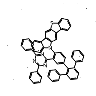 c1ccc(-c2nc(-c3ccccc3)nc(-c3cc(-c4c(-c5ccccc5)cccc4-c4ccccc4)ccc3-n3c4ccccc4c4cc5sc6ccccc6c5cc43)n2)cc1